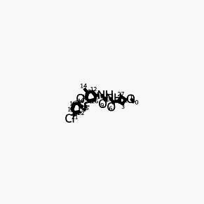 COC1CC(C(=O)NC(=O)Nc2cc(C)c(Oc3ccc(Cl)cn3)c(F)c2)C1